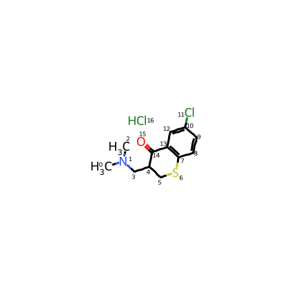 CN(C)CC1CSc2ccc(Cl)cc2C1=O.Cl